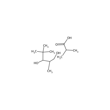 CC(C)C(=O)O.CC(CO)C(O)C(C)(C)C